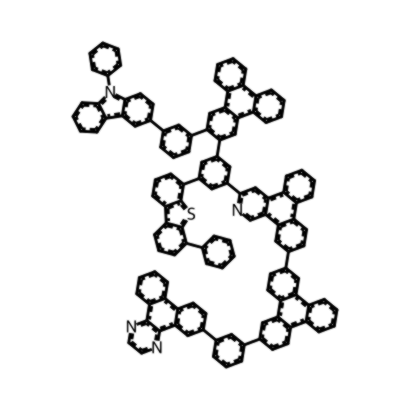 c1ccc(-c2cccc3c2sc2c(-c4cc(-c5cc6c7ccccc7c7ccc(-c8ccc9c%10cc(-c%11cccc(-c%12ccc%13c%14ccccc%14c%14nccnc%14c%13c%12)c%11)ccc%10c%10ccccc%10c9c8)cc7c6cn5)cc(-c5cc6c7ccccc7c7ccccc7c6cc5-c5cccc(-c6ccc7c(c6)c6ccccc6n7-c6ccccc6)c5)c4)cccc23)cc1